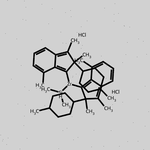 CC1=c2cccc(C)c2=[C]([Zr]([C]2=c3c(C)cccc3=C(C)C2(C)C2CCC(C)CC2)[SiH](C)C)C1(C)C1CCC(C)CC1.Cl.Cl